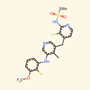 CSS(=O)(=O)Nc1nccc(Cc2cncc(Nc3cccc(OC(F)(F)F)c3F)c2C)c1F